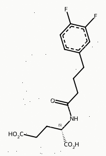 O=C(O)CC[C@H](NC(=O)CCCc1ccc(F)c(F)c1)C(=O)O